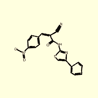 N#CC(=Cc1ccc([N+](=O)[O-])cc1)C(=O)Nc1nc(-c2ccccc2)cs1